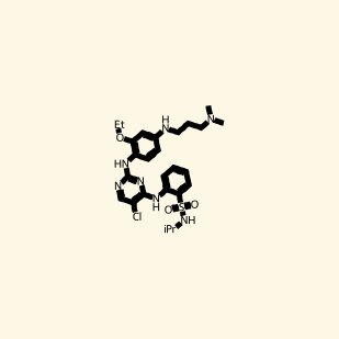 CCOc1cc(NCCCN(C)C)ccc1Nc1ncc(Cl)c(Nc2ccccc2S(=O)(=O)NC(C)C)n1